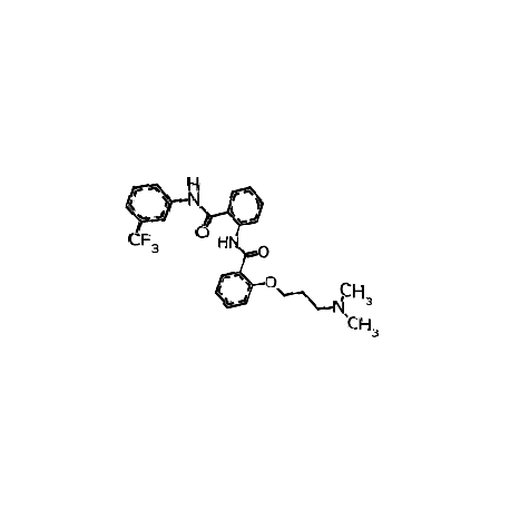 CN(C)CCCOc1ccccc1C(=O)Nc1ccccc1C(=O)Nc1cccc(C(F)(F)F)c1